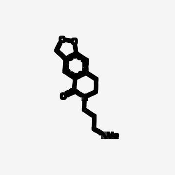 CNCCCN1CCc2cc3c(cc2C1=O)COO3